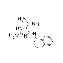 N=C(N)C1NC(N)=NC1N=C1CCCc2ccccc21